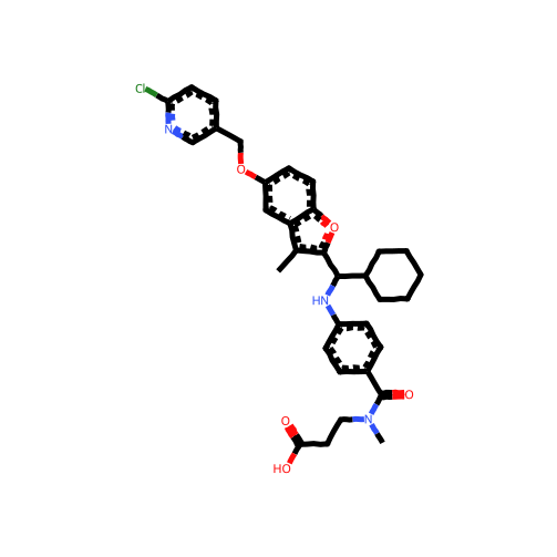 Cc1c(C(Nc2ccc(C(=O)N(C)CCC(=O)O)cc2)C2CCCCC2)oc2ccc(OCc3ccc(Cl)nc3)cc12